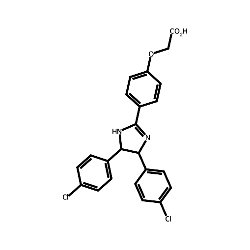 O=C(O)COc1ccc(C2=NC(c3ccc(Cl)cc3)C(c3ccc(Cl)cc3)N2)cc1